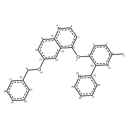 Cc1ccc(Oc2ccnc3ccc(OCc4ccccc4)cc23)c(-c2ccccn2)n1